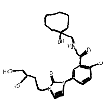 O=C(NCC1(O)CCCCCC1)c1cc(-n2ccn(CCC(O)CO)c2=O)ccc1Cl